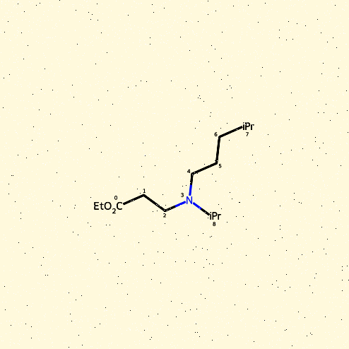 CCOC(=O)CCN(CCCC(C)C)C(C)C